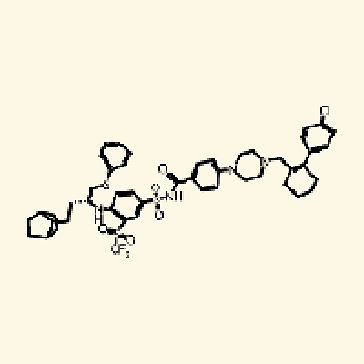 O=C(NS(=O)(=O)c1ccc(N[C@H](CCN2C3CCC2CC3)CSc2ccccc2)c(S(=O)(=O)C(F)(F)F)c1)c1ccc(N2CCN(CC3=C(c4ccc(Cl)cc4)CCCC3)CC2)cc1